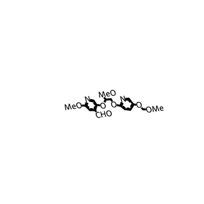 COCOc1ccc(OCC(OC)Oc2cnc(OC)cc2C=O)nc1